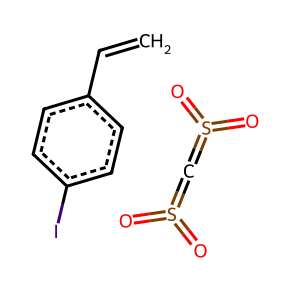 C=Cc1ccc(I)cc1.O=S(=O)=C=S(=O)=O